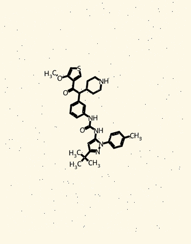 COc1cscc1C(=O)C(c1cccc(NC(=O)Nc2cc(C(C)(C)C)nn2-c2ccc(C)cc2)c1)C1CCNCC1